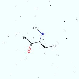 CC(C)C[C@H](NC(C)C)C(=O)C(C)C